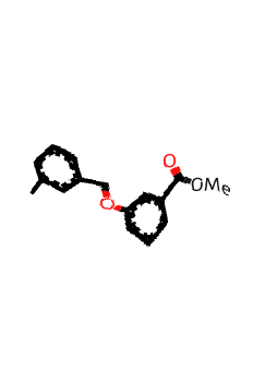 COC(=O)c1cccc(OCc2cccc(C)c2)c1